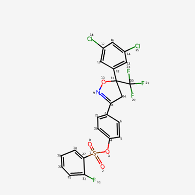 O=S(=O)(Oc1ccc(C2=NOC(c3cc(Cl)cc(Cl)c3)(C(F)(F)F)C2)cc1)c1ccccc1F